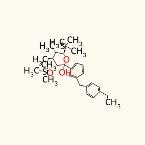 CCc1ccc(Cc2cccc(C3(O)O[C@H]([Si](C)(C)C)[C@@H](C)[C@H](C)[C@H]3O[Si](C)(C)C)c2)cc1